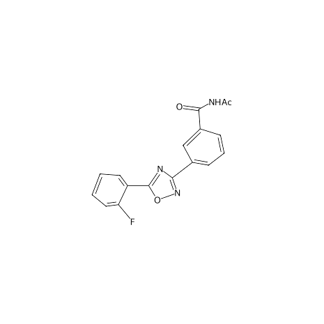 CC(=O)NC(=O)c1cccc(-c2noc(-c3ccccc3F)n2)c1